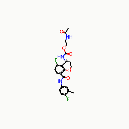 CC(=O)NCCOC(=O)N[C@H]1CCOc2c(C(=O)Nc3ccc(F)c(C)c3)ccc(F)c21